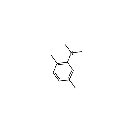 Cc1[c]cc(C)c(N(C)C)c1